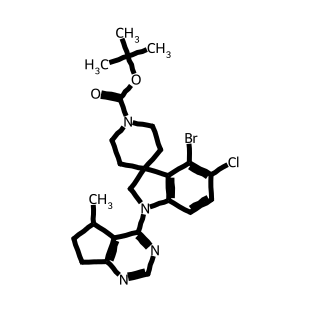 CC1CCc2ncnc(N3CC4(CCN(C(=O)OC(C)(C)C)CC4)c4c3ccc(Cl)c4Br)c21